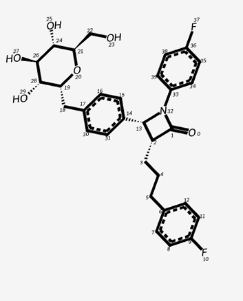 O=C1[C@H](CCCc2ccc(F)cc2)[C@H](c2ccc(C[C@H]3O[C@H](CO)[C@@H](O)[C@H](O)[C@H]3O)cc2)N1c1ccc(F)cc1